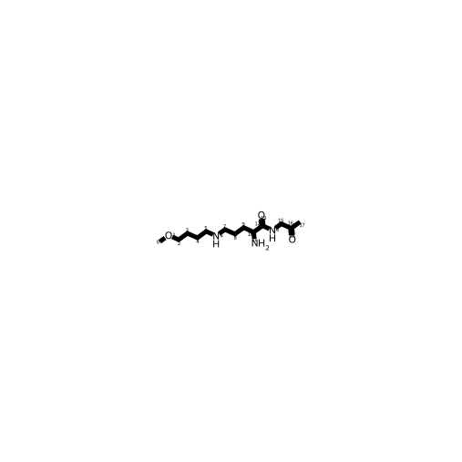 COCCCCNCCCC(N)C(=O)NCC(C)=O